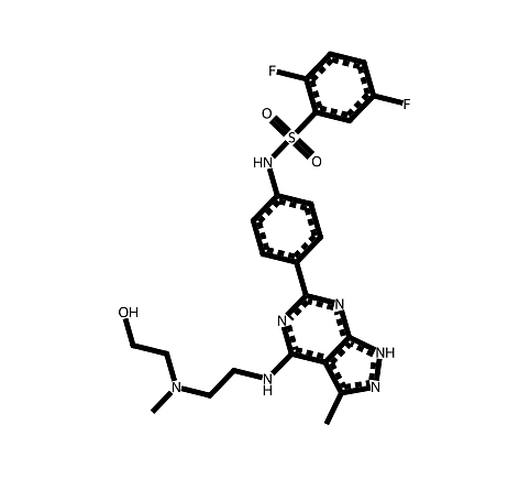 Cc1n[nH]c2nc(-c3ccc(NS(=O)(=O)c4cc(F)ccc4F)cc3)nc(NCCN(C)CCO)c12